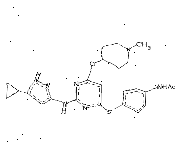 CC(=O)Nc1ccc(Sc2cc(OC3CCN(C)CC3)nc(Nc3cc(C4CC4)[nH]n3)n2)cc1